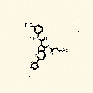 CC(=O)CCC(=O)Nc1c(C(=O)Nc2cccc(C(F)(F)F)c2)sc2nc(-c3cccs3)ccc12